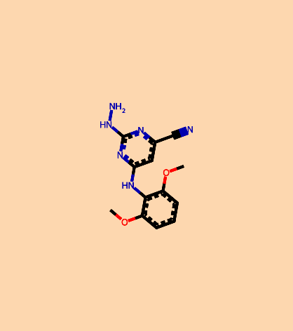 COc1cccc(OC)c1Nc1cc(C#N)nc(NN)n1